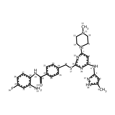 Cc1cc(Nc2cc(N3CCN(C)CC3)nc(SCc3ccc(C(=O)Nc4ccc(F)cc4N)cc3)n2)n[nH]1